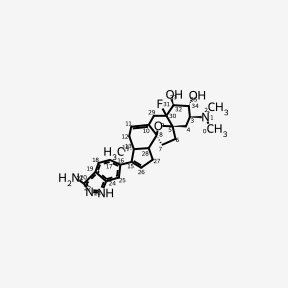 CN(C)[C@H]1C[C@@]23CC[C@@]4(O2)C(=CC[C@]2(C)C(c5ccc6c(N)n[nH]c6c5)=CCC24)CC3(F)[C@@H](O)[C@@H]1O